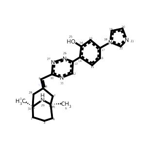 C[C@]12CCC[C@](C)(C/C(=C\c3ncc(-c4ccc(-n5ccnc5)cc4O)nn3)C1)N2